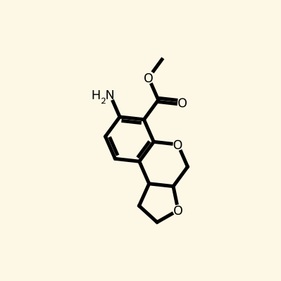 COC(=O)c1c(N)ccc2c1OCC1OCCC21